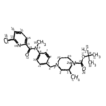 C[C@H]1CN(Cc2ccc(N(C)C(=O)c3cccc(Cl)n3)cc2)CCN1C(=O)OC(C)(C)C